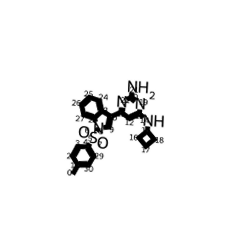 Cc1ccc(S(=O)(=O)n2cc(-c3cc(NC4CCC4)nc(N)n3)c3ccccc32)cc1